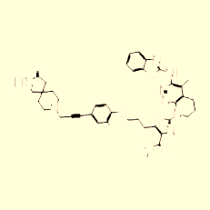 COC(=O)c1nc(N2CCCc3c2nnc(Nc2nc4ccccc4s2)c3C)sc1CCCOc1ccc(C#CCN2CCC3(CC2)CNC(=O)C3)cc1F